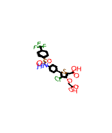 O=C(O)COc1c(C(=O)O)sc(-c2ccc(NS(=O)(=O)c3ccc(C(F)(F)F)cc3)cc2)c1Cl